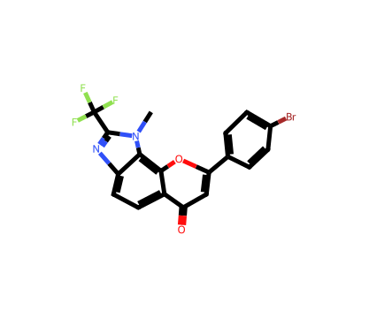 Cn1c(C(F)(F)F)nc2ccc3c(=O)cc(-c4ccc(Br)cc4)oc3c21